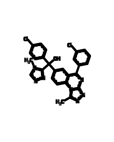 Cc1nnc2nc(-c3cccc(Cl)c3)c3cc(C(O)(c4ccc(Cl)cc4)c4nncn4C)ccc3n12